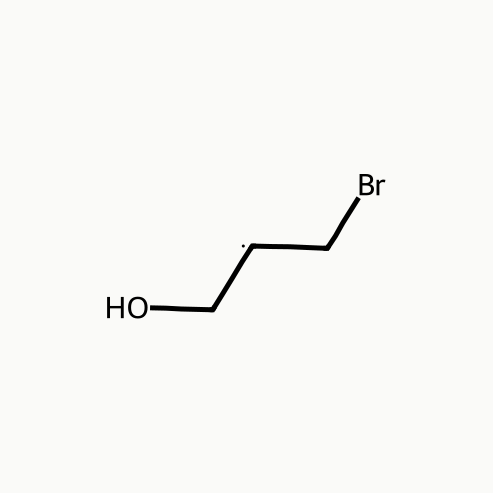 OC[CH]CBr